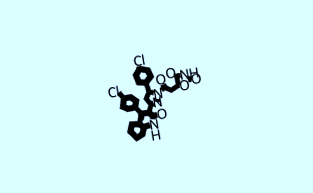 O=C1NC(=O)C(CC(=O)N2N=C(c3c(-c4ccc(Cl)cc4)c4ccccc4[nH]c3=O)CC2c2ccc(Cl)cc2)O1